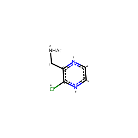 CC(=O)NCc1nccnc1Cl